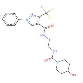 O=C(NCCNC(=O)N1CCC(O)CC1)c1cn(-c2ccccc2)nc1C(F)(F)F